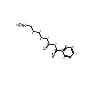 CCCCCCCCCCCCCCCC(Cl)CC(=O)c1ccccc1